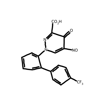 O=Nc1cn(-c2ccccc2-c2ccc(C(F)(F)F)cc2)nc(C(=O)O)c1=O